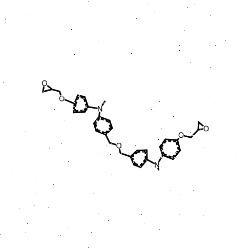 CN(c1ccc(COCc2ccc(N(C)c3ccc(OCC4CO4)cc3)cc2)cc1)c1ccc(OCC2CO2)cc1